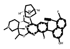 C#Cc1c(F)ccc2cc(O)cc(-c3c(F)cc4c(N5C[C@H]6CC[C@@H](C5)N6)nc(OC(C)[C@]5(C)CN(C)CC[C@@H]5C(F)F)nc4c3F)c12